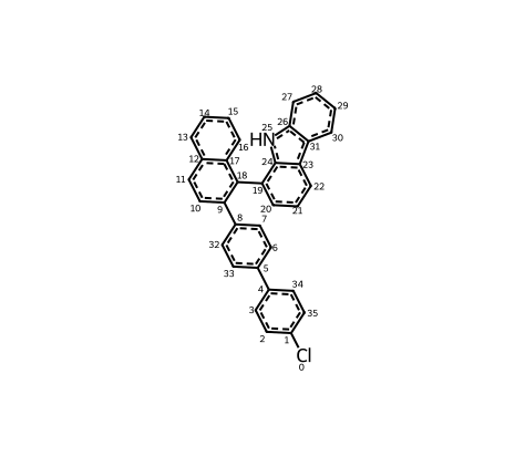 Clc1ccc(-c2ccc(-c3ccc4ccccc4c3-c3cccc4c3[nH]c3ccccc34)cc2)cc1